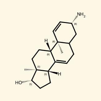 C[C@]12CC[C@H]3C(=CCC4C[C@@H](N)C=C[C@@]43C)[C@@H]1CC[C@@H]2O